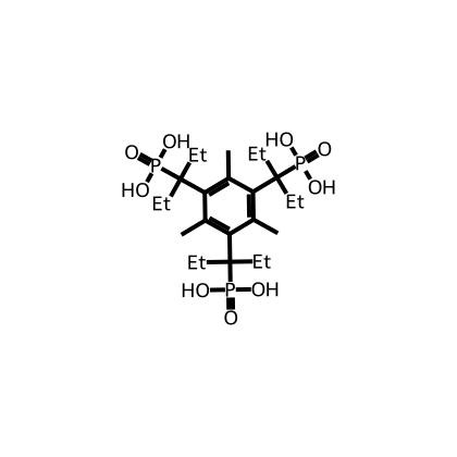 CCC(CC)(c1c(C)c(C(CC)(CC)P(=O)(O)O)c(C)c(C(CC)(CC)P(=O)(O)O)c1C)P(=O)(O)O